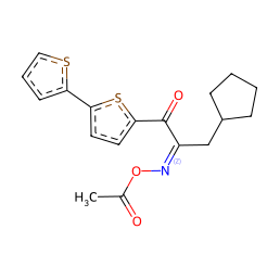 CC(=O)O/N=C(/CC1CCCC1)C(=O)c1ccc(-c2cccs2)s1